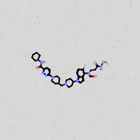 CNC(=O)CCN(C=O)c1c(F)ccc2c1ccn2C1CCN(CC2CCN(c3ccc(C(=O)NC4CCCCC4)nn3)CC2)CC1